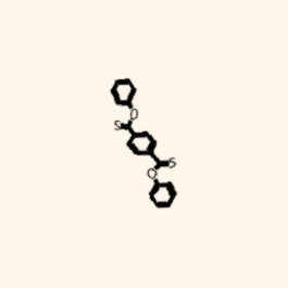 S=C(Oc1ccccc1)c1ccc(C(=S)Oc2ccccc2)cc1